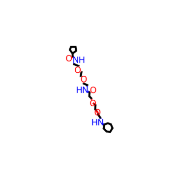 O=C(CCOCCOCCNC1CCCCCC1)NCCOCCOCCNC(=O)C1CCCC1